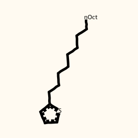 C[CH]CCCCCCCCCCCCCCc1cccs1